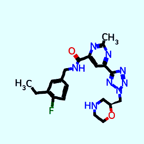 CCc1cc(CNC(=O)c2cc(-c3nnn(C[C@@H]4CNCCO4)n3)nc(C)n2)ccc1F